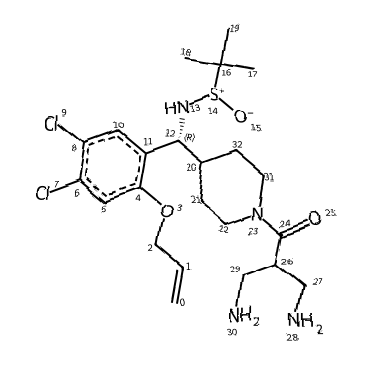 C=CCOc1cc(Cl)c(Cl)cc1[C@H](N[S+]([O-])C(C)(C)C)C1CCN(C(=O)C(CN)CN)CC1